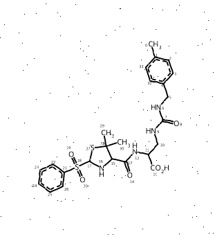 Cc1ccc(CNC(=O)NCC(NC(=O)C2NC(S(=O)(=O)c3ccccc3)SC2(C)C)C(=O)O)cc1